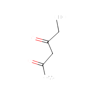 COC(=O)CC(=O)C[C]=O